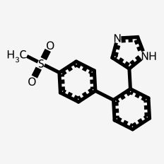 CS(=O)(=O)c1ccc(-c2ccccc2-c2cnc[nH]2)cc1